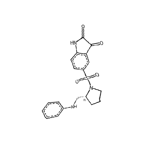 O=C1Nc2ccc(S(=O)(=O)N3CCC[C@@H]3CNc3ccccc3)cc2C1=O